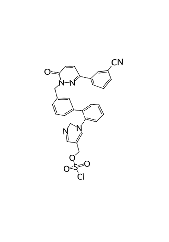 N#Cc1cccc(-c2ccc(=O)n(Cc3cccc(-c4ccccc4N4C=C(COS(=O)(=O)Cl)C=NC4)c3)n2)c1